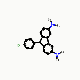 Br.CCN(CC)c1ccc2c(c1)-c1cc(N(CC)CC)ccc1C2c1ccccc1